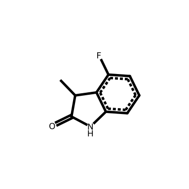 CC1C(=O)Nc2cccc(F)c21